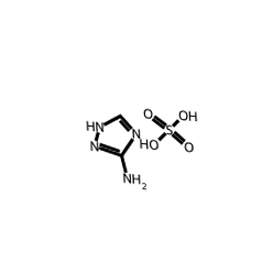 Nc1nc[nH]n1.O=S(=O)(O)O